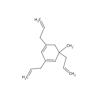 [CH2]C1(CC=C)C=C(CC=C)C=C(CC=C)C1